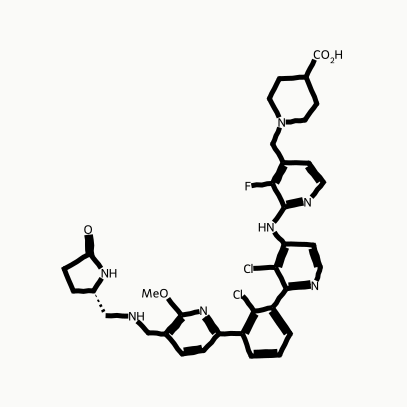 COc1nc(-c2cccc(-c3nccc(Nc4nccc(CN5CCC(C(=O)O)CC5)c4F)c3Cl)c2Cl)ccc1CNC[C@@H]1CCC(=O)N1